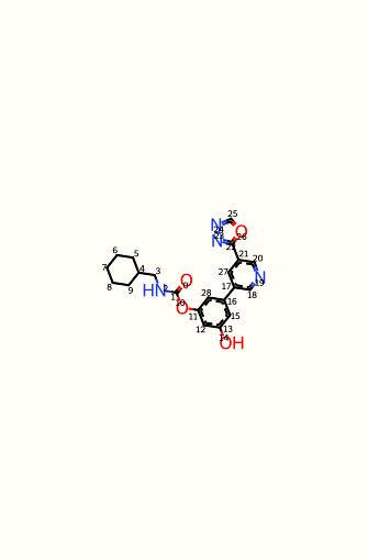 O=C(NCC1CCCCC1)Oc1cc(O)cc(-c2cncc(-c3nnco3)c2)c1